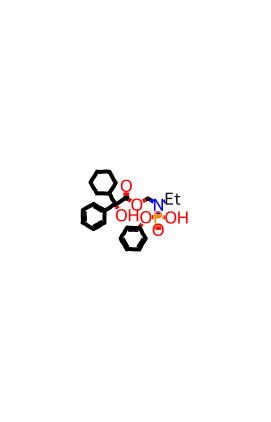 CCN(COC(=O)C(O)(c1ccccc1)C1CCCCC1)P(=O)(O)Oc1ccccc1